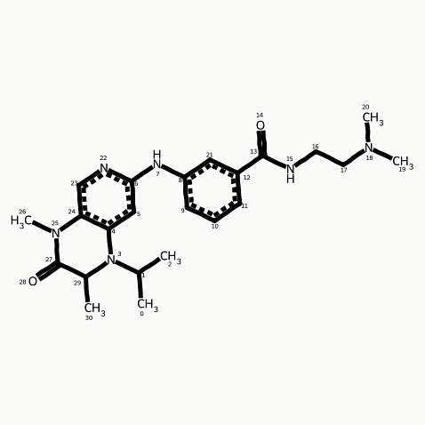 CC(C)N1c2cc(Nc3cccc(C(=O)NCCN(C)C)c3)ncc2N(C)C(=O)C1C